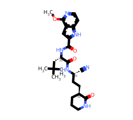 COc1nccc2[nH]c(C(=O)N[C@@H](CC(C)(C)C)C(=O)N[C@H](C#N)CC[C@@H]3CCCNC3=O)cc12